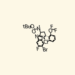 CN(C(=O)OC(C)(C)C)C1C[C@H](c2c(Cl)cccc2OC(F)F)n2c1nc1cc(F)c(Br)cc12